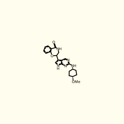 CO[C@H]1CC[C@@H](Nc2ncc3c(C4CNC(=O)c5ccccc5O4)c[nH]c3n2)CC1